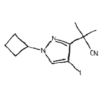 CC(C)(C#N)c1nn(C2CCC2)cc1I